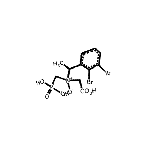 CC(c1cccc(Br)c1Br)[N+]([O-])(CC(=O)O)CP(=O)(O)O